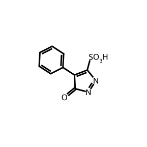 O=C1N=NC(S(=O)(=O)O)=C1c1ccccc1